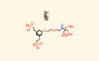 O=P([O-])([O-])CCc1cc(CCP(=O)([O-])[O-])cc(OCCOCCNC(CO)(CO)CO)c1.[Na+].[Na+].[Na+].[Na+]